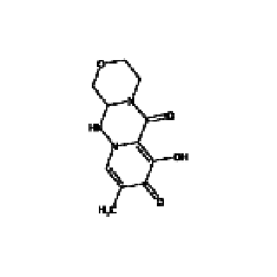 Cc1cn2c(c(O)c1=O)C(=O)N1CCOCC1N2